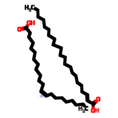 CCCCCCCC/C=C\CCCCCCCCCCCC(=O)O.CCCCCCCCCCCCCCCCCCCC=CC(=O)O